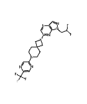 FC(F)Cn1ncc2ncc(N3CC4(CCN(c5cnc(C(F)(F)F)cn5)CC4)C3)nc21